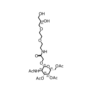 CC(=O)N[C@H]1[C@H](OCC(=O)NCCOCCOC[C@H](O)CO)O[C@H](COC(C)=O)[C@H](OC(C)=O)[C@@H]1OC(C)=O